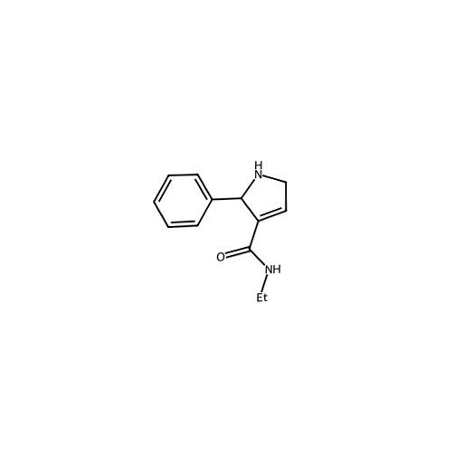 CCNC(=O)C1=CCNC1c1ccccc1